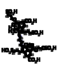 CC1(C)C(/C=C/C=C/C=C2/N(CCCS(=O)(=O)O)c3cc(C(=O)O)cc(C(=O)OCCCS(=O)(=O)O)c3C2(C)C)=[N+](CCCS(=O)(=O)O)c2cc(C(=O)O)cc(C(=O)OCCCS(=O)(=O)O)c21